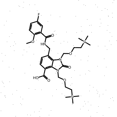 COc1ccc(F)cc1C(=O)NCc1ccc(C(=O)O)c2c1n(COCC[Si](C)(C)C)c(=O)n2COCC[Si](C)(C)C